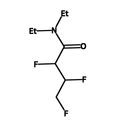 CCN(CC)C(=O)C(F)C(F)CF